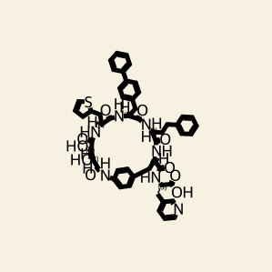 O=C(O)[C@H](Cc1cccnc1)NC(=O)[C@@H]1Cc2ccc(cc2)NC(=O)[C@H](O)[C@@H](O)C(=O)N[C@H](CC2CC=CS2)C(=O)N[C@@H](Cc2ccc(-c3ccccc3)cc2)C(=O)N[C@H](CCc2ccccc2)C(=O)N1